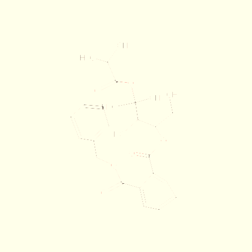 CCC(OC(=O)c1ccccc1C(=O)OCc1ccccc1)C(C)C(C)(C)OC(=O)C(C)C